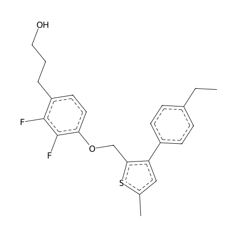 CCc1ccc(-c2cc(C)sc2COc2ccc(CCCO)c(F)c2F)cc1